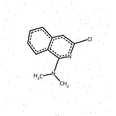 CN(C)c1nc(Cl)cc2ccccc12